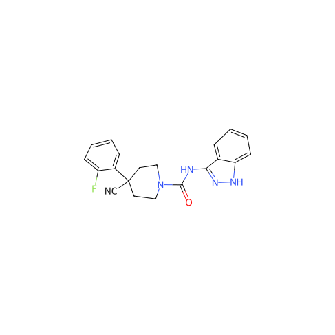 N#CC1(c2ccccc2F)CCN(C(=O)Nc2n[nH]c3ccccc23)CC1